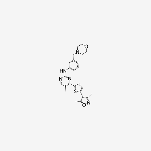 Cc1cnc(Nc2cccc(CN3CCOCC3)c2)nc1-c1ccc(-c2c(C)noc2C)s1